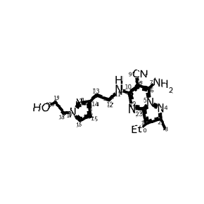 CCc1c(C)nn2c(N)c(C#N)c(NCCc3ccn(CCO)n3)nc12